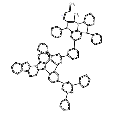 C=C/C=C\C1=C(C)B2c3ccccc3N(c3ccccc3)c3cc(-c4cccc(-c5nc(-c6ccccc6)nc(-c6cc(-c7nc(-c8ccccc8)nc(-c8ccccc8)n7)ccc6-n6c7ccccc7c7c8oc9ccccc9c8ccc76)n5)c4)cc(c32)N1c1ccccc1